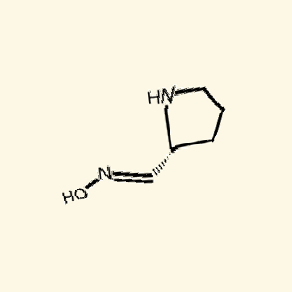 O/N=C/[C@H]1CCCN1